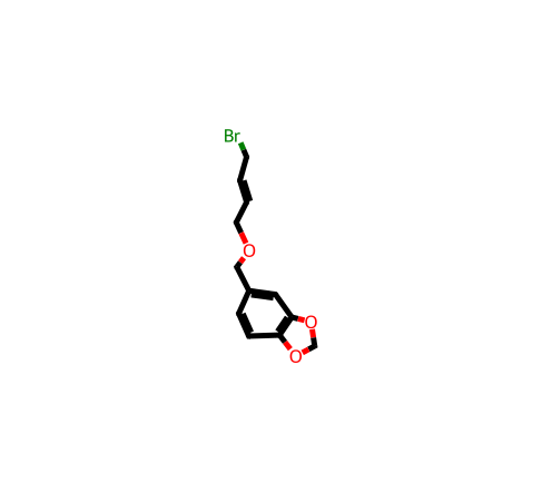 BrCC=CCOCc1ccc2c(c1)OCO2